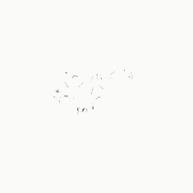 Cc1c(-c2cncc(S(=O)(=O)N(C)C)c2)c2ccccc2n1C/C(F)=C/CN.Cl.Cl